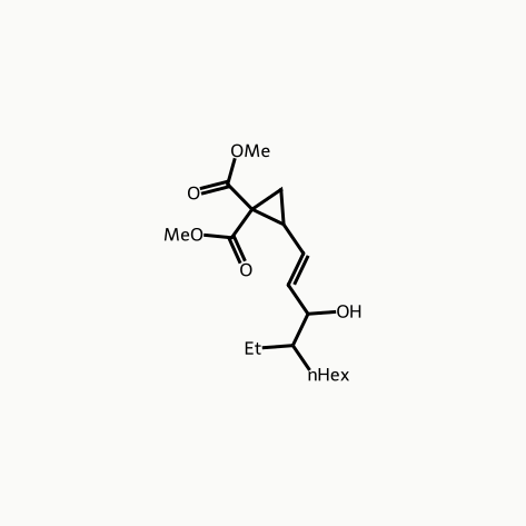 CCCCCCC(CC)C(O)/C=C/C1CC1(C(=O)OC)C(=O)OC